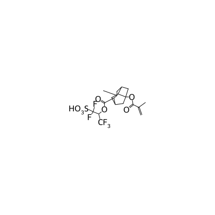 C=C(C)C(=O)OC12CC3CC1C(CC(C)C3C(=O)OC(C(F)(F)F)C(F)(F)S(=O)(=O)O)C2